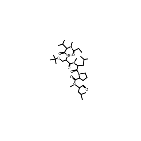 CCC(=O)N(C)C(C(=O)NC(COC(C)(C)C)C(=O)N(C)C(CC(C)C)C(=O)N1CCCC1C(=O)N(C)C(C=O)CC(C)C)C(C)C